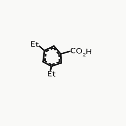 CCc1cc(CC)cc(C(=O)O)c1